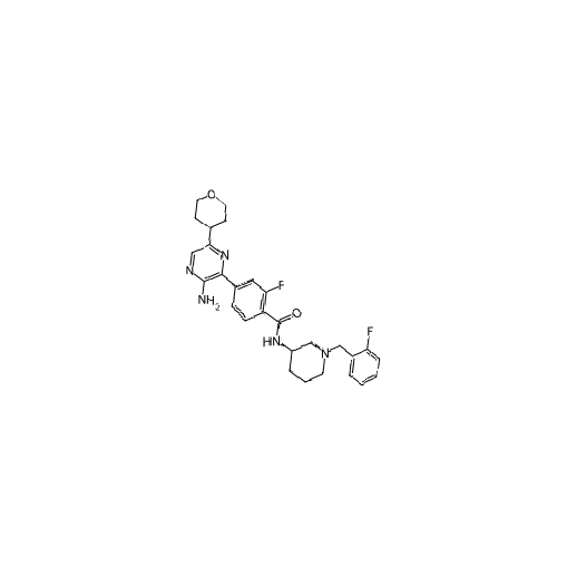 Nc1ncc(C2CCOCC2)nc1-c1ccc(C(=O)NC2CCCN(Cc3ccccc3F)C2)c(F)c1